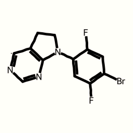 Fc1cc(N2CCc3[c]ncnc32)c(F)cc1Br